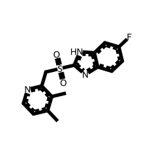 Cc1ccnc(CS(=O)(=O)c2nc3ccc(F)cc3[nH]2)c1C